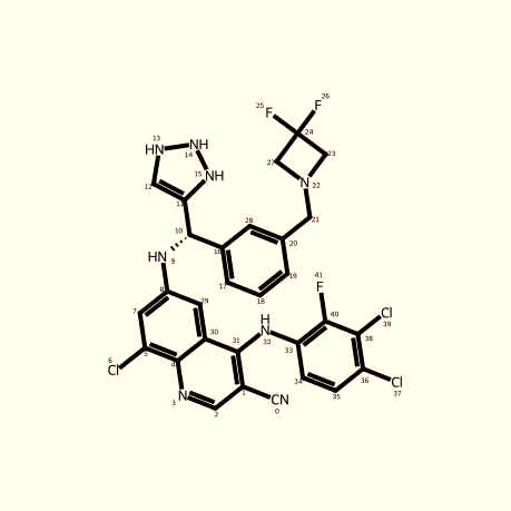 N#Cc1cnc2c(Cl)cc(N[C@H](C3=CNNN3)c3cccc(CN4CC(F)(F)C4)c3)cc2c1Nc1ccc(Cl)c(Cl)c1F